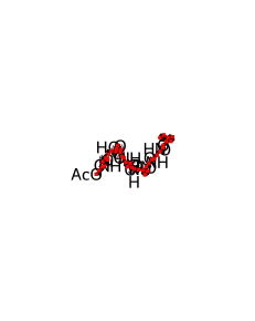 CC(=O)OC(C)C=CC(=O)N[C@@H]1C[C@H](C)[C@H](CC=C(C)C=C[C@H]2O[C@H](CC(=O)NCc3ccc(S(=O)(=O)NC(=O)CCc4ccccc4NC(=O)CNC(=O)CCCCCNC(=O)OCC4c5ccccc5-c5ccccc54)cc3)C[C@@]3(CO3)[C@@H]2O)O[C@@H]1C